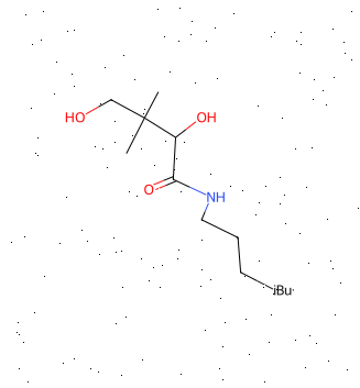 CC[C](C)CCCNC(=O)C(O)C(C)(C)CO